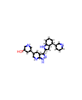 Oc1cncc(-c2cnc3[nH]nc(-c4cc5c(-c6cccnc6)cccc5[nH]4)c3c2)c1